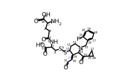 NC(CCC(=O)NC(CSSC1CCN(Cc2ccccc2F)C(C(=O)C2CC2)/C1=C/C=O)C(=O)O)C(=O)O